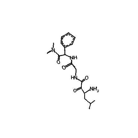 CC(C)CC(N)C(=O)C(=O)NCC(=O)NC(C(=O)N(C)C)c1ccccc1